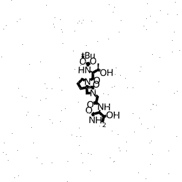 CC(O)[C@H](NC(=O)CN1CC2(CCCN2C(=O)[C@@H](NC(=O)OC(C)(C)C)[C@@H](C)O)C1=O)C(N)=O